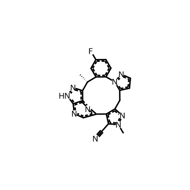 C[C@@H]1c2cc(F)ccc2-n2nccc2Cc2nn(C)c(C#N)c2-c2cnc3[nH]nc1c3n2